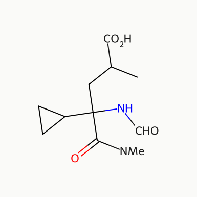 CNC(=O)C(CC(C)C(=O)O)(NC=O)C1CC1